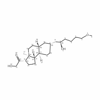 COCCCC[C@@H](O)C[C@@H]1CC[C@@H]2[C@H](CC[C@]3(C)[C@@H](C(=O)CO)CC[C@@H]23)C1